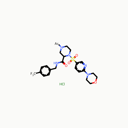 CC(=O)N1CCN(S(=O)(=O)c2ccc(N3CCOCC3)nc2)C(C(=O)NCc2ccc(C(F)(F)F)cc2)C1.Cl